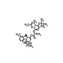 CC(=O)O[C@@H](C(=O)O[C@@H](C)C(=O)OC1=CC[C@@]2(O)[C@H]3Cc4ccc(C)c5c4[C@@]2(CCN3C)[C@H]1O5)[C@@H](C)C(=O)OC(C)(C)C